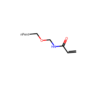 C=CC(=O)NCOCCCCCC